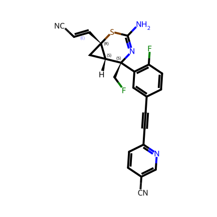 N#C/C=C/[C@]12C[C@H]1[C@@](CF)(c1cc(C#Cc3ccc(C#N)cn3)ccc1F)N=C(N)S2